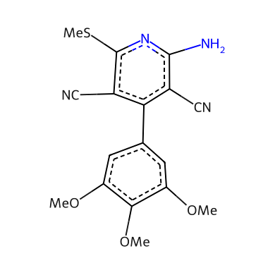 COc1cc(-c2c(C#N)c(N)nc(SC)c2C#N)cc(OC)c1OC